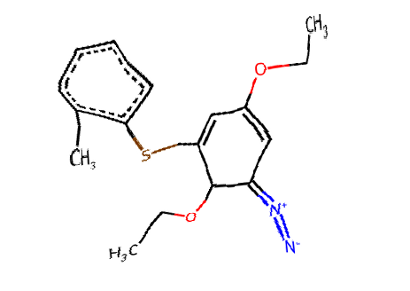 CCOC1=CC(=[N+]=[N-])C(OCC)C(Sc2ccccc2C)=C1